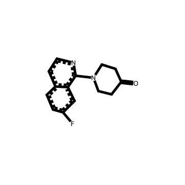 O=C1CCN(c2nccc3ccc(F)cc23)CC1